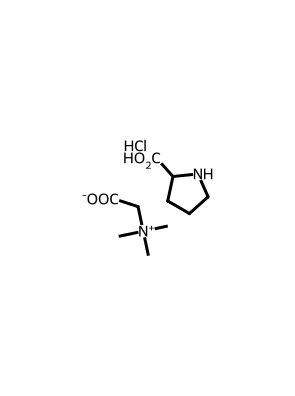 C[N+](C)(C)CC(=O)[O-].Cl.O=C(O)C1CCCN1